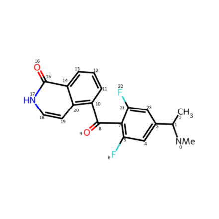 CNC(C)c1cc(F)c(C(=O)c2cccc3c(=O)[nH]ccc23)c(F)c1